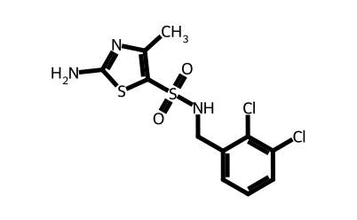 Cc1nc(N)sc1S(=O)(=O)NCc1cccc(Cl)c1Cl